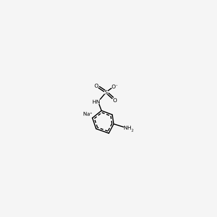 Nc1cccc(NS(=O)(=O)[O-])c1.[Na+]